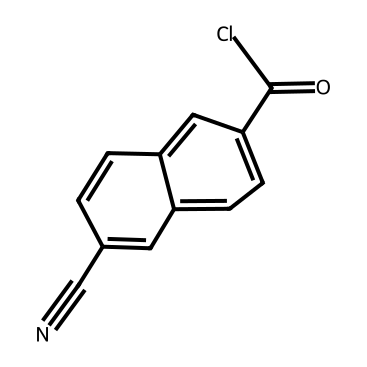 N#Cc1ccc2cc(C(=O)Cl)ccc2c1